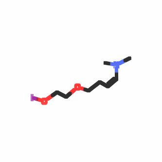 CN(C)/C=C\CCOCCOI